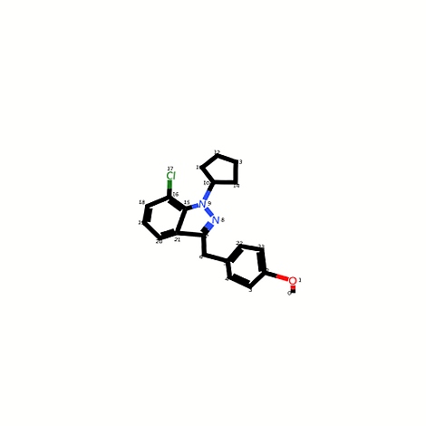 COc1ccc(Cc2nn(C3CCCC3)c3c(Cl)cccc23)cc1